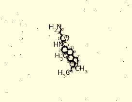 CCC[C@@H](C)[C@H]1CCC2C3CCC4CC(N[C@H]([C]=O)CCCCN)CC[C@]4(C)C3CC[C@@]21C